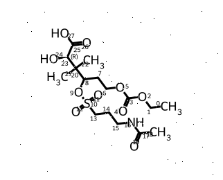 CCOC(=O)OCCC(OS(=O)(=O)CCCNC(C)=O)C(C)(C)[C@@H](O)C(=O)O